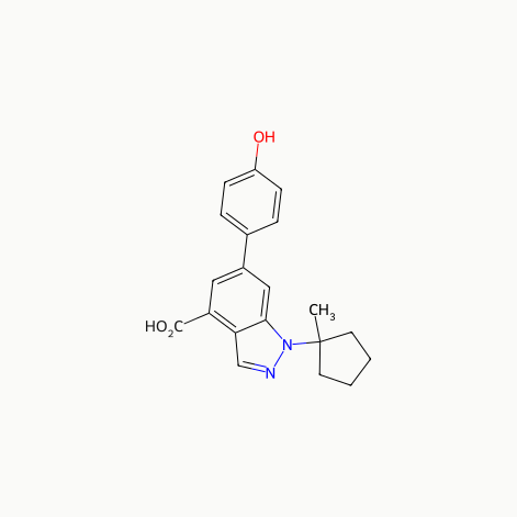 CC1(n2ncc3c(C(=O)O)cc(-c4ccc(O)cc4)cc32)CCCC1